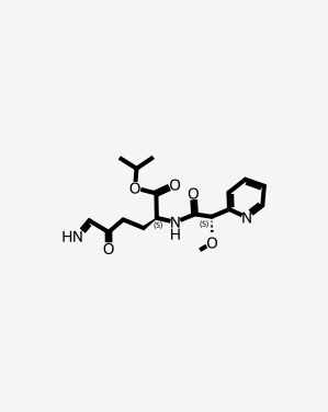 CO[C@H](C(=O)N[C@@H](CCC(=O)C=N)C(=O)OC(C)C)c1ccccn1